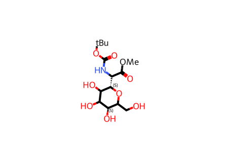 COC(=O)C(NC(=O)OC(C)(C)C)[C@@H]1OC(CO)[C@@H](O)C(O)C1O